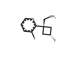 NC[C@]1(c2ncccc2F)C[C@@H](F)C1